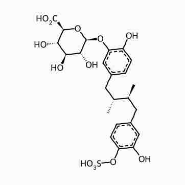 C[C@H](Cc1ccc(O)c(O[C@@H]2O[C@H](C(=O)O)[C@@H](O)[C@H](O)[C@H]2O)c1)[C@@H](C)Cc1ccc(OS(=O)(=O)O)c(O)c1